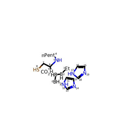 BBBCC.CCCCCNC(CS)C(=O)O.c1c[nH]cn1.c1c[nH]cn1